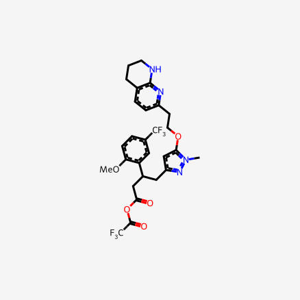 COc1ccc(C(F)(F)F)cc1C(CC(=O)OC(=O)C(F)(F)F)Cc1cc(OCCc2ccc3c(n2)NCCC3)n(C)n1